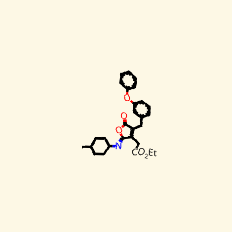 CCOC(=O)CC1=C(Cc2cccc(Oc3ccccc3)c2)C(=O)O/C1=N\C1CCC(C)CC1